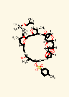 C=C1C[C@H](OS(=O)(=O)c2ccc(C)cc2)CC[C@@]23C[C@H]4O[C@H]5C(O2)[C@H]2O[C@H](CC[C@@H]2O[C@H]5[C@H]4O3)CC(=O)CC2C(C[C@H]3O[C@@H](CC[C@@H]1O)C[C@@H](C)C3=C)O[C@H](C[C@H](C)CO[Si](C)(C)C(C)(C)C)[C@@H]2C